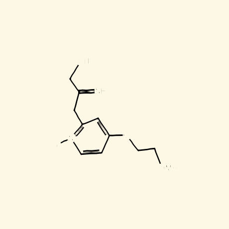 COCCOc1cc[n+]([O-])c(CC(=N)CO)c1